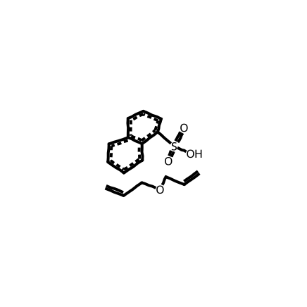 C=CCOCC=C.O=S(=O)(O)c1cccc2ccccc12